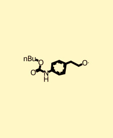 CCCCOC(=O)Nc1ccc(CC[O])cc1